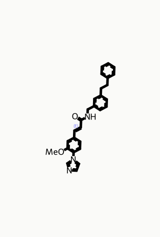 COc1cc(/C=C/C(=O)NCc2cccc(CCc3ccccc3)c2)ccc1-n1ccnc1